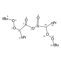 CCCC(OOC(C)(C)C)C(=O)OC(=O)C(CCC)OOC(C)(C)C